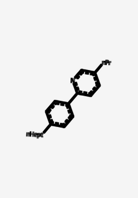 CCCCCCCc1ccc(-c2ccc(CCC)cn2)cc1